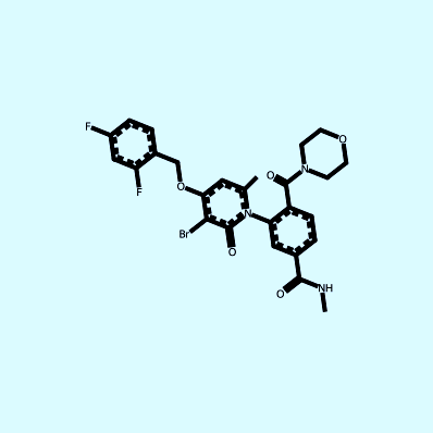 CNC(=O)c1ccc(C(=O)N2CCOCC2)c(-n2c(C)cc(OCc3ccc(F)cc3F)c(Br)c2=O)c1